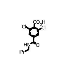 CC(C)CNC(=O)c1cc(Cl)c(C(=O)O)c(Cl)c1